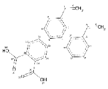 C=Cc1ccccc1.C=Cc1ccccc1.O=C(O)c1ccccc1C(=O)O